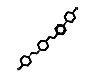 CC[C@H]1CC[C@H](CC[C@H]2CC[C@H](CCc3ccc([C@H]4CC[C@H](CC)CC4)cc3)CC2)CC1